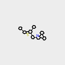 c1ccc(-c2ccc3sc4c(-c5cccc(-c6ccc7c8ccccc8c8ccccc8c7n6)c5)cc(-c5ccccc5)cc4c3c2)cc1